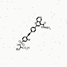 CCC(C)C(NS(=O)(=O)c1ccc(C#Cc2ccc(-c3cc(C(=O)NN)c4cnccc4n3)cc2)c(F)c1)C(=O)O